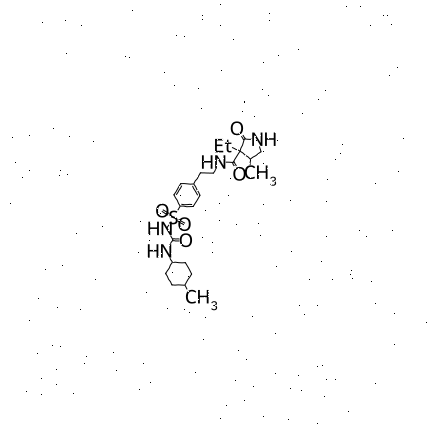 CCC1(C(=O)NCCc2ccc(S(=O)(=O)NC(=O)NC3CCC(C)CC3)cc2)C(=O)NCC1C